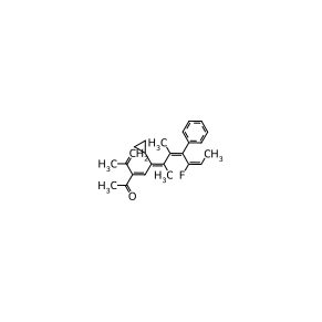 C=C(C)\C(=C/C(=C(C)/C(C)=C(\C(F)=C/C)c1ccccc1)C1CC1)C(C)=O